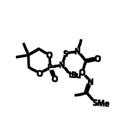 CSC(C)=NOC(=O)N(C)SN(C(C)(C)C)P1(=O)OCC(C)(C)CO1